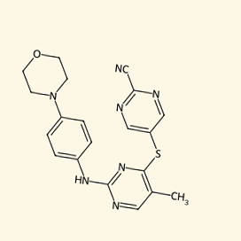 Cc1cnc(Nc2ccc(N3CCOCC3)cc2)nc1Sc1cnc(C#N)nc1